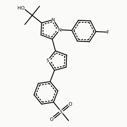 CC(C)(O)c1cc(-c2ccc(-c3cccc(S(C)(=O)=O)c3)s2)n(-c2ccc(F)cc2)n1